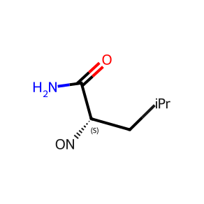 CC(C)C[C@H](N=O)C(N)=O